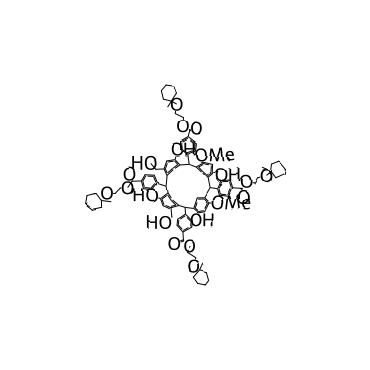 COc1cc(O)c2cc1C(c1ccc(C(=O)OCCOC3(C)CCCCC3)cc1)c1cc(c(OC)cc1O)C(c1ccc(C(=O)OCCOC3(C)CCCCC3)cc1)c1cc(c(CO)cc1O)C(c1ccc(C(=O)OCCOC3(C)CCCCC3)cc1)c1cc(c(CO)cc1O)C2c1ccc(C(=O)OCCOC2(C)CCCCC2)cc1